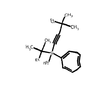 CCC[Si](C#CC(C)(C)CC)(c1ccccc1)C(C)(C)CC